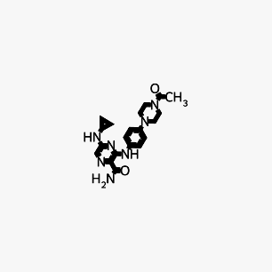 CC(=O)N1CCN(c2ccc(Nc3nc(NC4CC4)cnc3C(N)=O)cc2)CC1